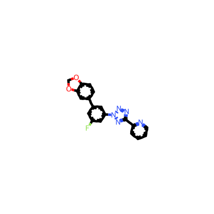 Fc1cc(-c2ccc3c(c2)OCO3)cc(-n2nnc(-c3ccccn3)n2)c1